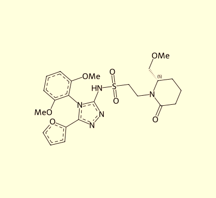 COC[C@@H]1CCCC(=O)N1CCS(=O)(=O)Nc1nnc(-c2ccco2)n1-c1c(OC)cccc1OC